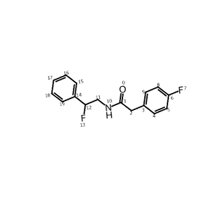 O=C(Cc1ccc(F)cc1)NCC(F)c1ccccc1